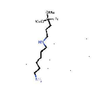 CCC[Si](CCCNCCCCCCN)(OC)OC